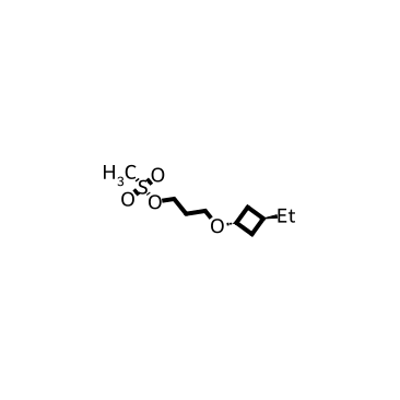 CC[C@H]1C[C@H](OCCCOS(C)(=O)=O)C1